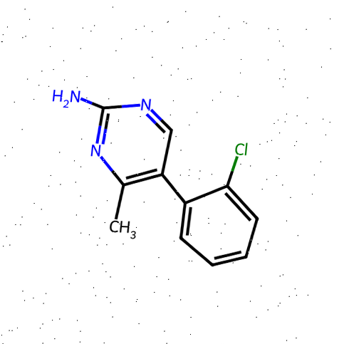 Cc1nc(N)ncc1-c1ccccc1Cl